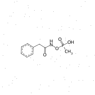 CP(=O)(O)ONC(=O)Cc1ccccc1